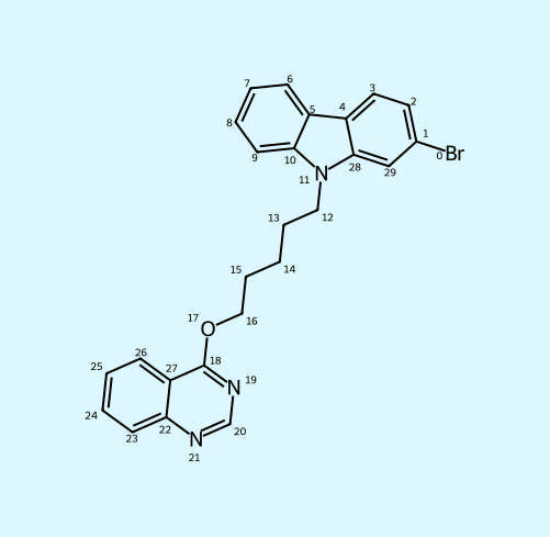 Brc1ccc2c3ccccc3n(CCCCCOc3ncnc4ccccc34)c2c1